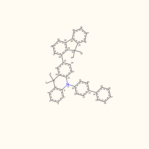 CC1(C)c2ccccc2N(c2ccc(-c3ccccc3)cc2)c2ccc(-c3cccc4c3C(C)(C)c3ccccc3-4)cc21